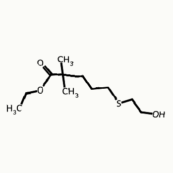 CCOC(=O)C(C)(C)CCCSCCO